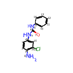 Nc1ccc(NC(=O)Nc2ccccc2)cc1Cl